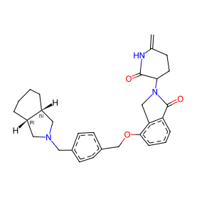 C=C1CCC(N2Cc3c(OCc4ccc(CN5C[C@H]6CCCC[C@H]6C5)cc4)cccc3C2=O)C(=O)N1